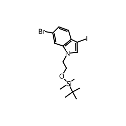 CC(C)(C)[Si](C)(C)OCCn1cc(I)c2ccc(Br)cc21